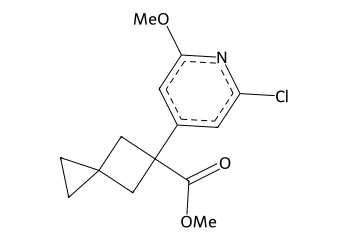 COC(=O)C1(c2cc(Cl)nc(OC)c2)CC2(CC2)C1